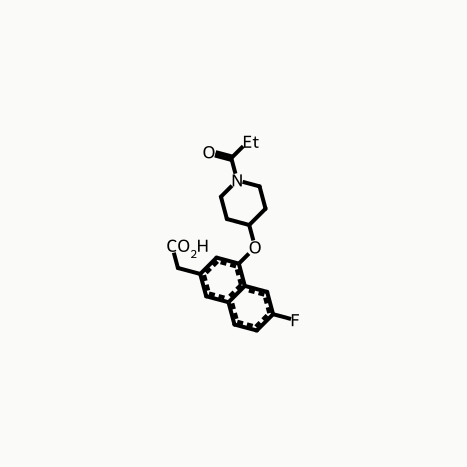 CCC(=O)N1CCC(Oc2cc(CC(=O)O)cc3ccc(F)cc23)CC1